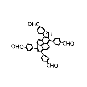 [2H]c1c(-c2ccc(C=O)cc2)c2ccc3c(-c4ccc(C=O)cc4)cc(-c4ccc(C=O)cc4)c4ccc(c1-c1ccc(C=O)cc1)c2c34